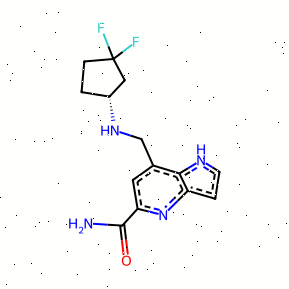 NC(=O)c1cc(CN[C@@H]2CCC(F)(F)C2)c2[nH]ccc2n1